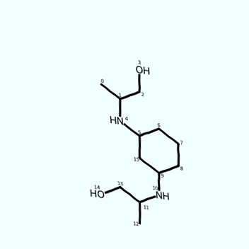 CC(CO)NC1CCCC(NC(C)CO)C1